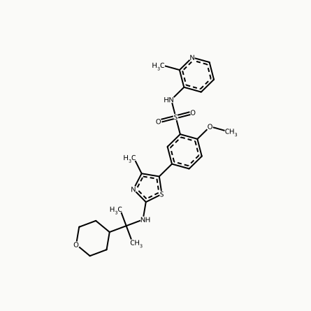 COc1ccc(-c2sc(NC(C)(C)C3CCOCC3)nc2C)cc1S(=O)(=O)Nc1cccnc1C